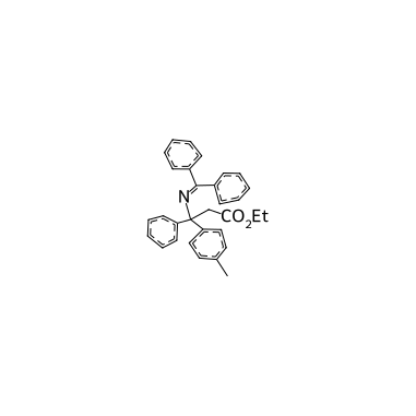 CCOC(=O)CC(N=C(c1ccccc1)c1ccccc1)(c1ccccc1)c1ccc(C)cc1